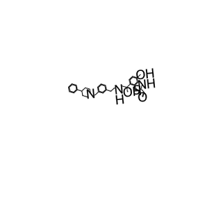 O=CC1Nc2c(O)ccc([C@@H](O)CNCCc3cccc(CN4CCC(c5ccccc5)CC4)c3)c2S1